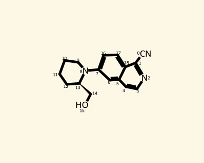 N#Cc1nccc2cc(N3CCCC[C@@H]3CO)ccc12